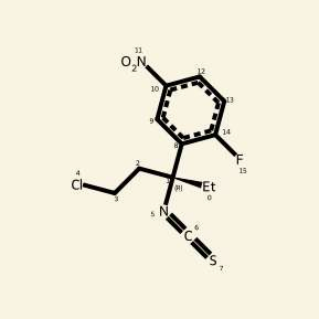 CC[C@](CCCl)(N=C=S)c1cc([N+](=O)[O-])ccc1F